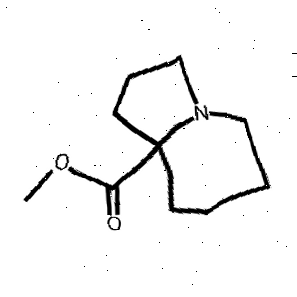 COC(=O)C12CCCCN1CCC2